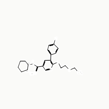 CCOCCOc1ncc(C(=O)N[C@@H]2CCCC[C@H]2O)cc1-c1ccc(Cl)cc1